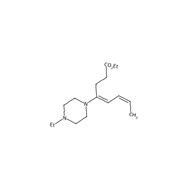 C/C=C\C=C(/CCC(=O)OCC)N1CCN(CC)CC1